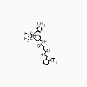 Cc1cccc(CC2(N(C)C)CCC(NC(=O)CCC(=O)NCc3ccccc3C(F)(F)F)CC2)c1